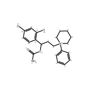 NC(=O)OC(CC[N+]1(c2ccccc2)CCCCC1)c1ccc(Cl)cc1Cl